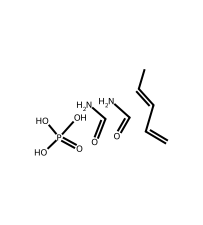 C=CC=CC.NC=O.NC=O.O=P(O)(O)O